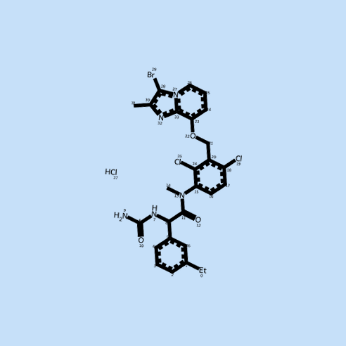 CCc1cccc(C(NC(N)=O)C(=O)N(C)c2ccc(Cl)c(COc3cccn4c(Br)c(C)nc34)c2Cl)c1.Cl